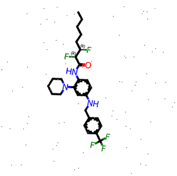 CCCCC[C@@H](F)[C@H](F)C(=O)Nc1ccc(NCc2ccc(C(F)(F)F)cc2)cc1N1CCCCC1